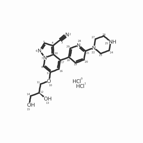 Cl.Cl.N#Cc1cnn2cc(OC[C@@H](O)CO)cc(-c3ccc(N4CCNCC4)nc3)c12